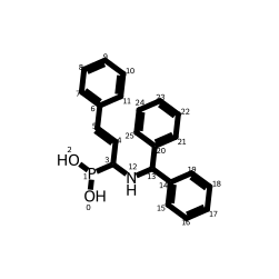 OP(O)C(C=Cc1ccccc1)NC(c1ccccc1)c1ccccc1